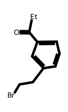 CCC(=O)c1cccc(CCBr)c1